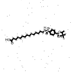 CC(OB(O)c1ccc(S(=O)(=O)NCCCCCCCCCCCCCCC(=O)O)cc1)C(C)(C)C